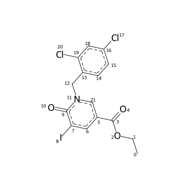 CCOC(=O)c1cc(I)c(=O)n(Cc2ccc(Cl)cc2Cl)c1